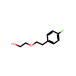 OCCOCCc1ccc(F)cc1